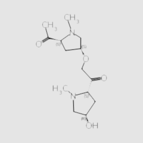 CC(=O)[C@@H]1C[C@H](OCC(=O)[C@@H]2C[C@@H](O)CN2C)CN1C